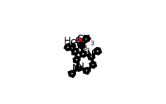 CC1(C)c2ccccc2-c2cc(-c3ccc(-c4nc(-c5ccccc5)cc(-c5cccc(-c6cccc(-c7cc(-c8ccccc8)nc(-c8cccc(-c9ccc%10c(c9)-c9ccccc9C%10(C)C)c8)c7)c6)c5)n4)cc3)ccc21